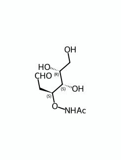 CC(=O)NO[C@@H](CC=O)[C@@H](O)[C@H](O)CO